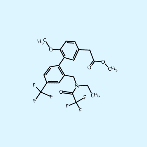 CCN(Cc1cc(C(F)(F)F)ccc1-c1cc(CC(=O)OC)ccc1OC)C(=O)C(F)(F)F